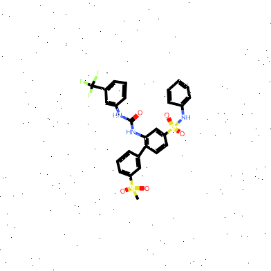 CS(=O)(=O)c1cccc(-c2ccc(S(=O)(=O)Nc3ccccc3)cc2NC(=O)Nc2cccc(C(F)(F)F)c2)c1